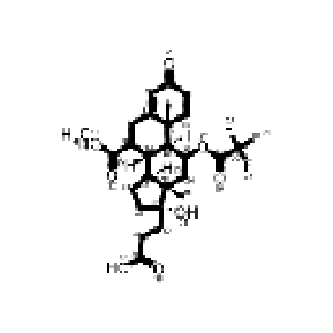 C.C[C@]12CCC(=O)C=C1CC(C(=O)O)[C@@H]1[C@@H]2C(OC(=O)C(F)(F)F)C[C@@]2(C)[C@H]1CC[C@]2(O)CCC(=O)O